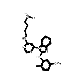 CCN(CC)CCCCNc1cc(-n2c(Nc3cc(OC)ccc3C)nc3ccccc32)ncn1